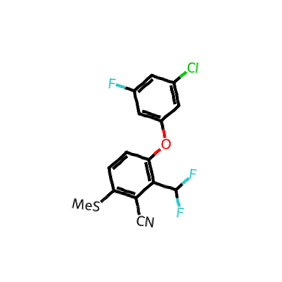 CSc1ccc(Oc2cc(F)cc(Cl)c2)c(C(F)F)c1C#N